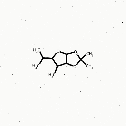 CC(C)C1OC2OC(C)(C)OC2C1C